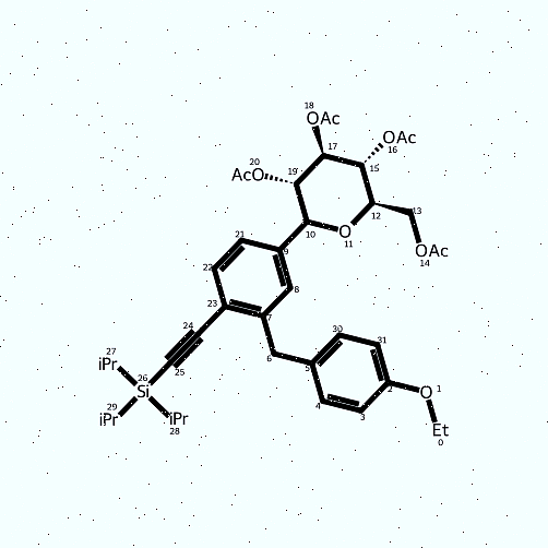 CCOc1ccc(Cc2cc(C3O[C@H](COC(C)=O)[C@@H](OC(C)=O)[C@H](OC(C)=O)[C@H]3OC(C)=O)ccc2C#C[Si](C(C)C)(C(C)C)C(C)C)cc1